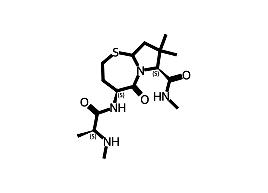 CNC(=O)[C@H]1N2C(=O)[C@@H](NC(=O)[C@H](C)NC)CCSC2CC1(C)C